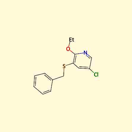 CCOc1ncc(Cl)cc1SCc1ccccc1